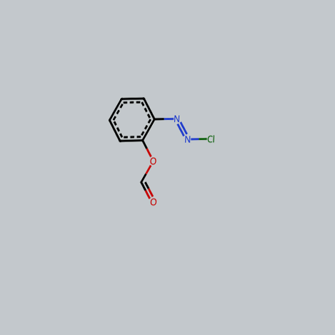 O=COc1ccccc1/N=N/Cl